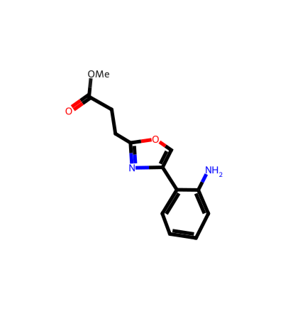 COC(=O)CCc1nc(-c2ccccc2N)co1